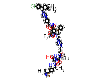 Cc1ncsc1-c1ccc([C@H](C)NC(=O)[C@@H]2C[C@@H](O)CN2C(=O)[C@@H](NC(=O)CCCCN2CCN(CC[C@H](CSc3ccccc3)Nc3ccc(S(=O)(=O)NC(=O)c4ccc(N5CCN(CC6=C(c7ccc(Cl)cc7)CCC(C)(C)C6)CC5)cc4)cc3S(=O)(=O)C(F)(F)F)CC2)C(C)(C)C)cc1